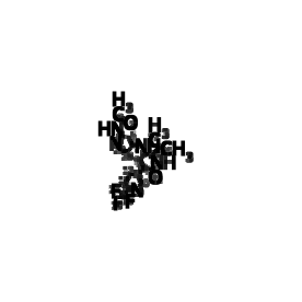 CC(=O)Nc1cc(Nc2cc(-c3ccc(C(F)(F)F)nc3)c(=O)[nH]c2C(C)C)ccn1